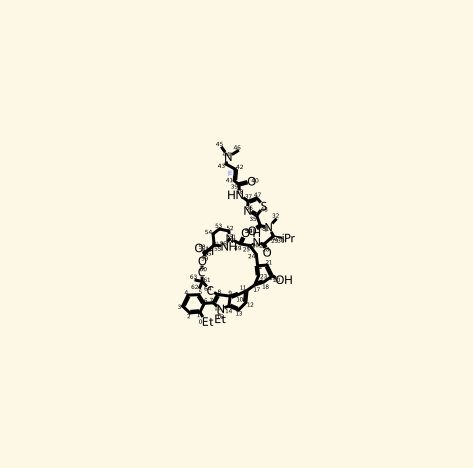 CCc1ccccc1-c1c2c3cc(ccc3n1CC)-c1cc(O)cc(c1)C[C@H](NC(=O)[C@H](C(C)C)N(C)C(=O)c1nc(NC(=O)/C=C/CN(C)C)cs1)C(=O)N1CCC[C@H](N1)C(=O)OCC(C)(C)C2